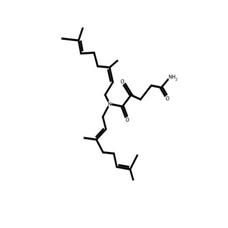 CC(C)=CCCC(C)=CCN(CC=C(C)CCC=C(C)C)C(=O)C(=O)CCC(N)=O